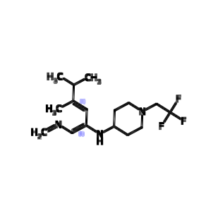 C=N/C=C(\C=C(/C)C(C)C)NC1CCN(CC(F)(F)F)CC1